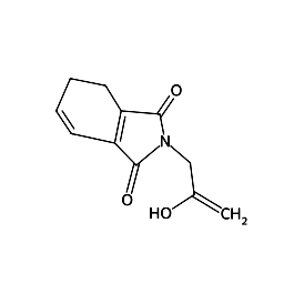 C=C(O)CN1C(=O)C2=C(CCC=C2)C1=O